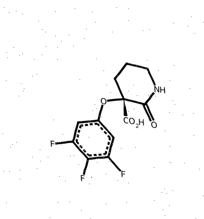 O=C(O)[C@@]1(Oc2cc(F)c(F)c(F)c2)CCCNC1=O